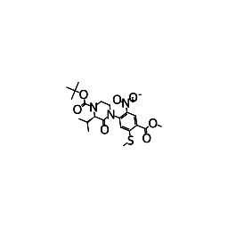 COC(=O)c1cc([N+](=O)[O-])c(N2CCN(C(=O)OC(C)(C)C)[C@H](C(C)C)C2=O)cc1SC